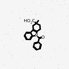 CC1(C(=O)O)CCc2c(c3ccccc3n2C(=O)c2ccccc2)C1